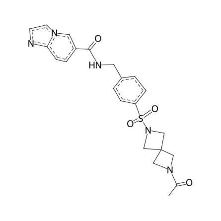 CC(=O)N1CC2(C1)CN(S(=O)(=O)c1ccc(CNC(=O)c3ccc4nccn4c3)cc1)C2